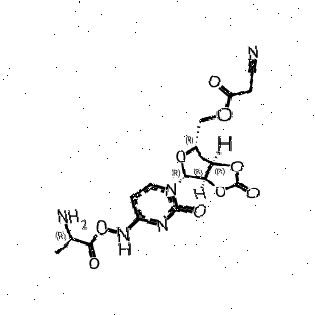 C[C@@H](N)C(=O)ONc1ccn([C@@H]2O[C@H](COC(=O)CC#N)[C@H]3OC(=O)O[C@H]32)c(=O)n1